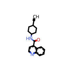 C#CC1CCC(NC(=O)c2ccnc3ccccc23)CC1